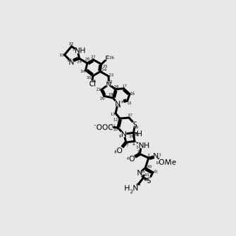 CON=C(C(=O)N[C@@H]1C(=O)N2C(C(=O)[O-])=C(C[n+]3cccc4c3ccn4Cc3c(F)cc(C4=NCCN4)cc3Cl)CS[C@H]12)c1csc(N)n1